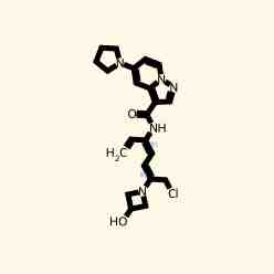 C=C/C(=C\C=C(/CCl)N1CC(O)C1)NC(=O)c1cnn2ccc(N3CCCC3)cc12